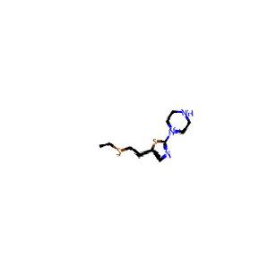 CCSCCc1cnc(N2CCNCC2)s1